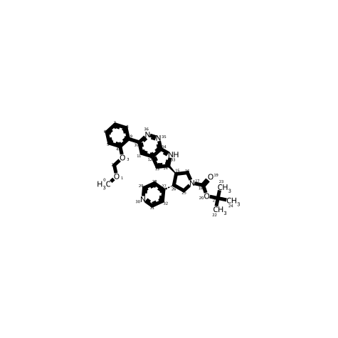 COCOc1ccccc1-c1cc2cc([C@H]3CN(C(=O)OC(C)(C)C)C[C@@H]3c3ccncc3)[nH]c2nn1